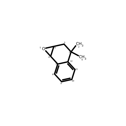 CC1(C)CC2OC2c2ccccc21